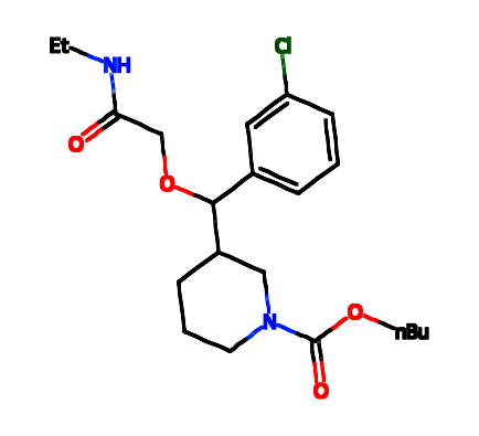 CCCCOC(=O)N1CCCC(C(OCC(=O)NCC)c2cccc(Cl)c2)C1